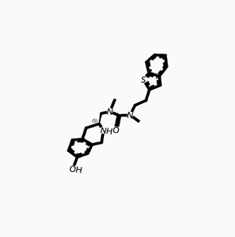 CN(CCc1cc2ccccc2s1)C(=O)N(C)C[C@@H]1Cc2ccc(O)cc2CN1